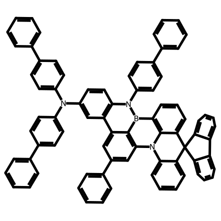 c1ccc(-c2ccc(N3B4c5cccc6c5N(c5ccccc5C65c6ccccc6-c6ccccc65)c5cc(-c6ccccc6)cc(c54)-c4cc(N(c5ccc(-c6ccccc6)cc5)c5ccc(-c6ccccc6)cc5)ccc43)cc2)cc1